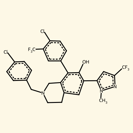 Cn1nc(C(F)(F)F)cc1-c1cc2c(c(-c3ccc(Cl)c(C(F)(F)F)c3)c1O)CN(Cc1ccc(Cl)cc1)CC2